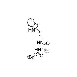 CC[C@H](NC(=O)OC(C)(C)C)C(=O)NCCCc1cc2ccccc2[nH]1